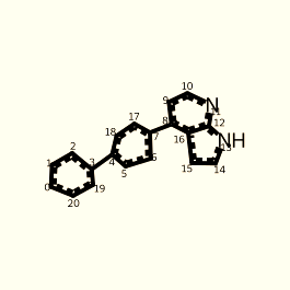 c1ccc(-c2ccc(-c3ccnc4[nH]ccc34)cc2)cc1